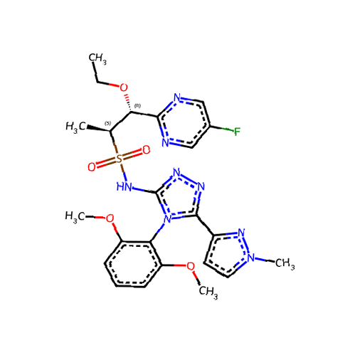 CCO[C@H](c1ncc(F)cn1)[C@H](C)S(=O)(=O)Nc1nnc(-c2ccn(C)n2)n1-c1c(OC)cccc1OC